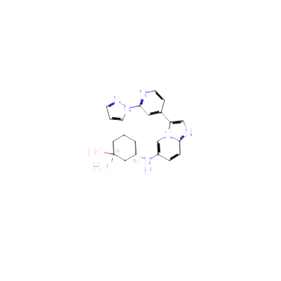 C[C@@]1(O)CCC[C@@H](Nc2ccc3ncc(-c4ccnc(-n5cccn5)c4)n3c2)C1